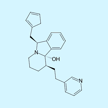 O[C@@]12c3ccccc3[C@H](CC3=CC=CC3)N1CCC[C@@H]2CCc1cccnc1